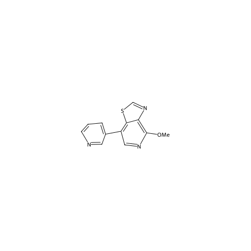 COc1ncc(-c2cccnc2)c2scnc12